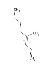 C=C/C=C(\C)CCCC